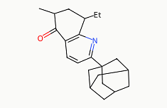 CCC1CC(C)C(=O)c2ccc(C34CC5CC(CC(C5)C3)C4)nc21